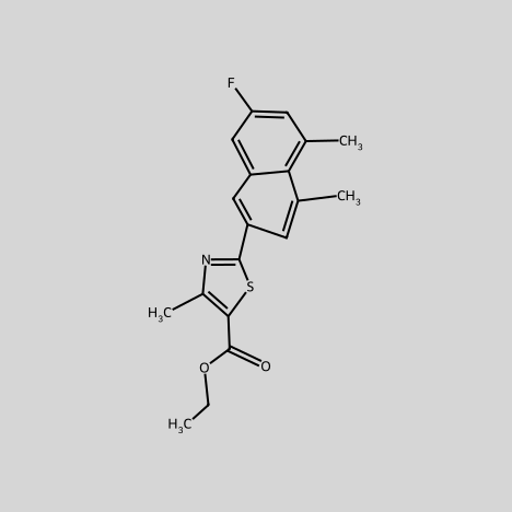 CCOC(=O)c1sc(-c2cc(C)c3c(C)cc(F)cc3c2)nc1C